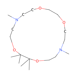 CN1CCOCCOCCN(C)CCOC(C)(C)C(C)(C)OCC1